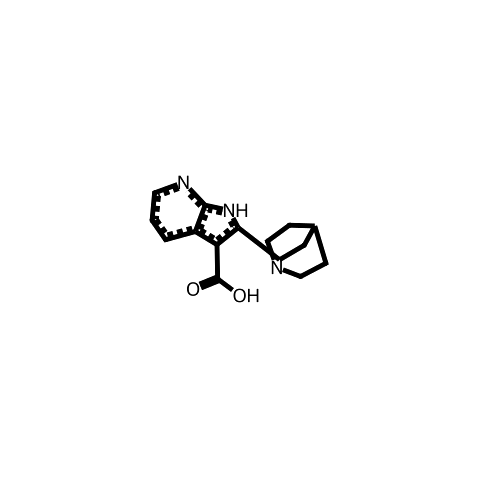 O=C(O)c1c(C2CC3CCN2CC3)[nH]c2ncccc12